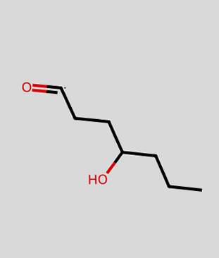 CCCC(O)CC[C]=O